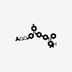 C=C(C)COCOCc1ccc(N(c2ccc(C)cc2)c2ccc(-c3ccc(N(C4=C[C@@H]5CC5(C)C=C4)c4ccccc4)cc3)cc2)cc1